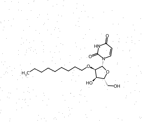 CCCCCCCCCO[C@@H]1[C@H](O)[C@@H](CO)O[C@H]1n1ccc(=O)[nH]c1=O